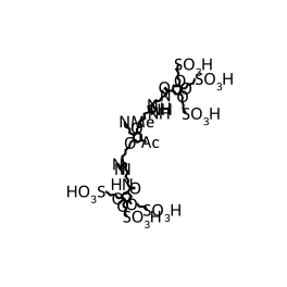 CNCCCc1c(OCCCCC2=CN(CCCNC(=O)c3cc(OCCCS(=O)(=O)O)c(OCCCS(=O)(=O)O)c(OCCCS(=O)(=O)O)c3)NN2)cc(C(C)=O)cc1OCCCCc1cn(CCCNC(=O)c2cc(OCCCS(=O)(=O)O)c(OCCS(=O)(=O)O)c(OCCCS(=O)(=O)O)c2)nn1